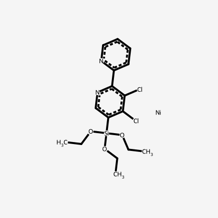 CCO[Si](OCC)(OCC)c1cnc(-c2ccccn2)c(Cl)c1Cl.[Ni]